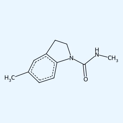 CNC(=O)N1CCc2cc(C)ccc21